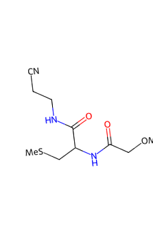 COCC(=O)NC(CSC)C(=O)NCCC#N